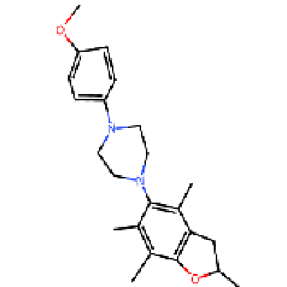 COc1ccc(N2CCN(c3c(C)c(C)c4c(c3C)CC(C)O4)CC2)cc1